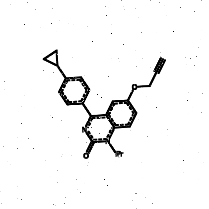 C#CCOc1ccc2c(c1)c(-c1ccc(C3CC3)cc1)nc(=O)n2C(C)C